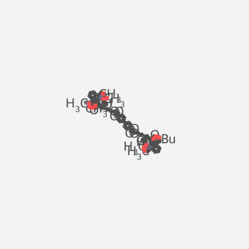 C/C=C(\C)OC(=O)[C@@H](CCCOS(=O)(=O)c1ccc(-c2ccc(S(=O)(=O)OCCC[C@@H](C[C@H](NC(c3ccccc3)(c3ccccc3)c3ccccc3)C(=O)OC(C)(C)C)C(=O)O/C(C)=C/C)cc2)cc1)C[C@H](NC(c1ccccc1)(c1ccccc1)c1ccccc1)C(=O)O/C(C)=C/C